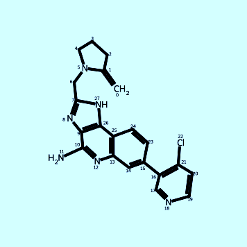 C=C1CCCN1Cc1nc2c(N)nc3cc(-c4cnccc4Cl)ccc3c2[nH]1